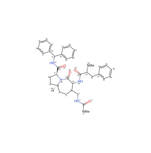 CNC(=O)NCC1CC[C@H]2CC[C@@H](C(=O)NC(c3ccccc3)c3ccccc3)N2C(=O)C1NC(=O)C(Cc1ccccc1)NC